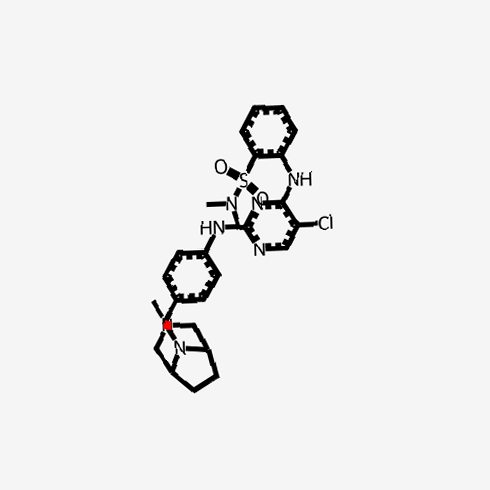 CN1CC2CCC(C1)N2Cc1ccc(Nc2ncc(Cl)c(Nc3ccccc3S(=O)(=O)N(C)C)n2)cc1